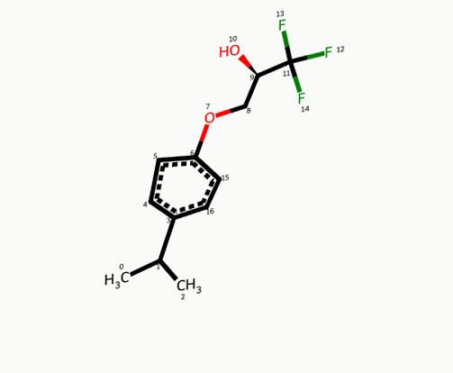 CC(C)c1ccc(OC[C@@H](O)C(F)(F)F)cc1